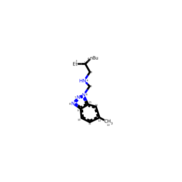 CCCCC(CC)CNCn1nnc2ccc(C)cc21